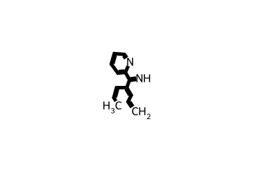 C=C/C=C(\C=C/C)C(=N)c1ccccn1